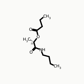 CCCCNC(=O)[C@H](C)OC(=O)CCC